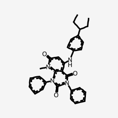 CCC(CC)c1ccc(Nc2cc(=O)n(C)c3c2c(=O)n(-c2ccccc2)c(=O)n3-c2ccccc2)cc1